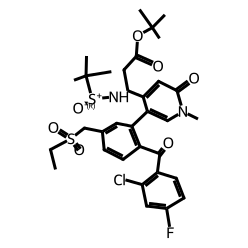 CCS(=O)(=O)Cc1ccc(C(=O)c2ccc(F)cc2Cl)c(-c2cn(C)c(=O)cc2C(CC(=O)OC(C)(C)C)N[S@@+]([O-])C(C)(C)C)c1